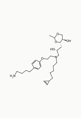 CC1OC[C@@H](O)[C@H](C[C@@H](O)CN(CCCCCC2C=C2)CCOc2ccc(CCCCN)cc2)O1